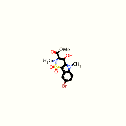 COC(=O)C1=C(O)c2c(c3cc(Br)ccc3n2C)S(=O)(=O)N1C